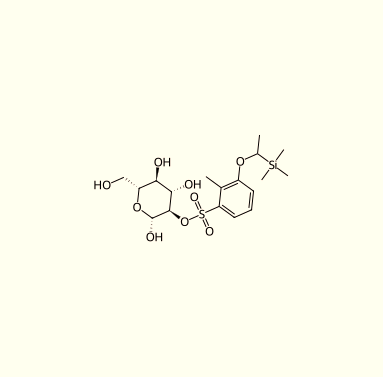 Cc1c(OC(C)[Si](C)(C)C)cccc1S(=O)(=O)O[C@@H]1[C@@H](O)[C@H](O)[C@@H](CO)O[C@H]1O